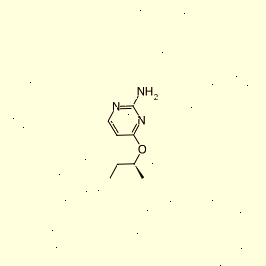 CC[C@H](C)Oc1ccnc(N)n1